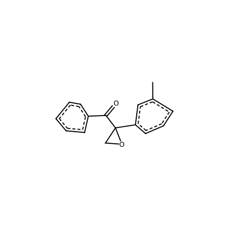 Cc1cccc(C2(C(=O)c3ccccc3)CO2)c1